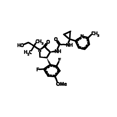 COc1cc(F)c([C@@H]2CN(C(C)(C)CO)C(=O)[C@H]2NC(=O)NC2(c3cccc(C)n3)CC2)c(F)c1